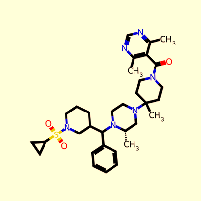 Cc1ncnc(C)c1C(=O)N1CCC(C)(N2CCN(C(c3ccccc3)C3CCCN(S(=O)(=O)C4CC4)C3)[C@@H](C)C2)CC1